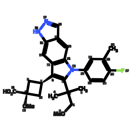 COCC(C)(C)c1c([C@H]2C[C@](OC)(C(=O)O)C2)c2cc3[nH]ncc3cc2n1-c1ccc(F)c(C)c1